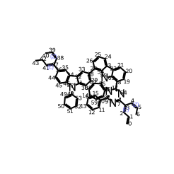 C=C/C=C(\C=C/C)c1nc(-c2ccccc2)nc(-c2cccc3c4cccc(-c5ccc6c(c5)c5cc(C(/C=C\C)=C/CC)ccc5n6-c5ccccc5)c4n(C4=CC=CCC=C4)c23)n1